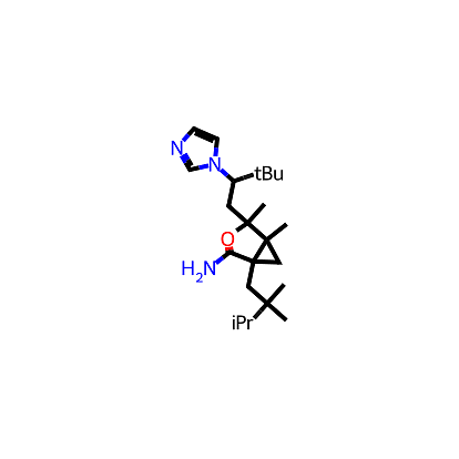 CC(C)C(C)(C)CC1(C(N)=O)CC1(C)C(C)(C)CC(n1ccnc1)C(C)(C)C